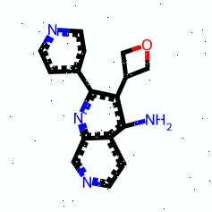 Nc1c(C2COC2)c(-c2ccncc2)nc2cnccc12